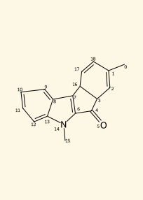 CC1=CC2C(=O)c3c(c4ccccc4n3C)C2C=C1